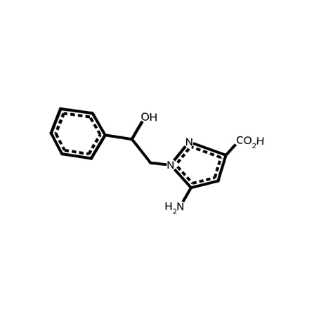 Nc1cc(C(=O)O)nn1CC(O)c1ccccc1